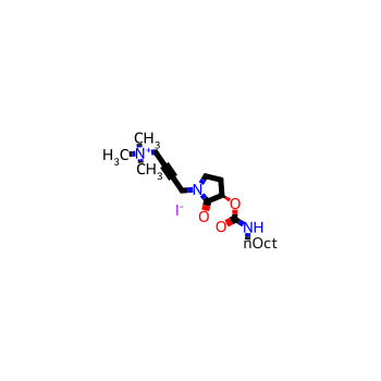 CCCCCCCCNC(=O)O[C@@H]1CCN(CC#CC[N+](C)(C)C)C1=O.[I-]